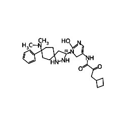 CN(C)C1(c2ccccc2)CCC2(CC1)C[C@@H](N1CC(NC(=O)C(=O)CC3CCC3)=CN=C1O)NN2